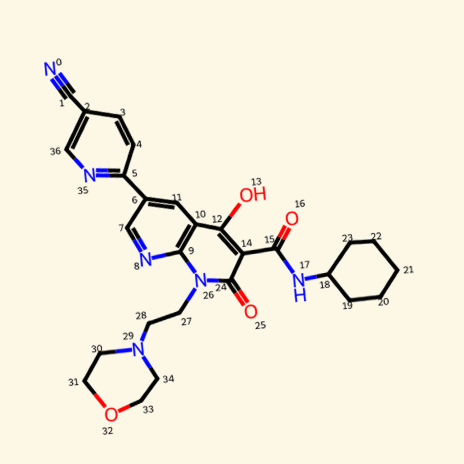 N#Cc1ccc(-c2cnc3c(c2)c(O)c(C(=O)NC2CCCCC2)c(=O)n3CCN2CCOCC2)nc1